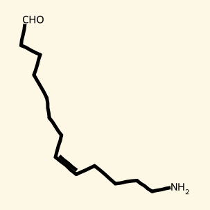 NCCCC/C=C\CCCCCCC=O